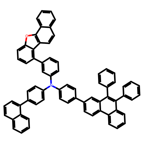 c1ccc(-c2c(-c3ccccc3)c3cc(-c4ccc(N(c5ccc(-c6cccc7ccccc67)cc5)c5cccc(-c6cccc7oc8c9ccccc9ccc8c67)c5)cc4)ccc3c3ccccc23)cc1